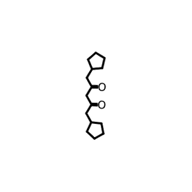 O=C(CC(=O)CC1CCCC1)CC1CCCC1